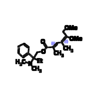 CCC(COC(=O)/C(C)=C/C(C)=C(\COC)OC)(c1ccccc1)N(C)C